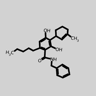 CCCCCc1cc(O)c(C2C=C(C)CCC2)c(O)c1C(=O)NCc1ccccc1